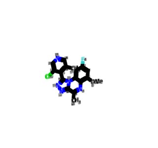 COc1cc(F)cc2c1nc(C)c1nnc(-c3c(C)cncc3Cl)n12